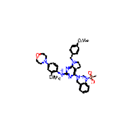 COc1ccc(CN2CCc3c(NCc4ccccc4N(C)S(C)(=O)=O)nc(Nc4ccc(N5CCOCC5)cc4OC)nc32)cc1